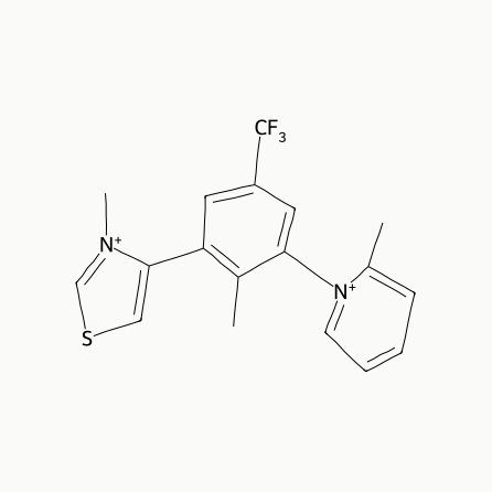 Cc1c(-c2csc[n+]2C)cc(C(F)(F)F)cc1-[n+]1ccccc1C